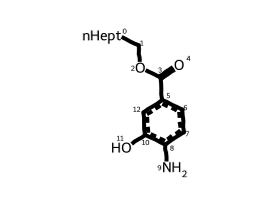 CCCCCCCCOC(=O)c1ccc(N)c(O)c1